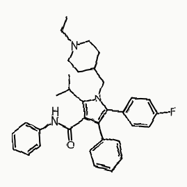 CCN1CCC(Cn2c(-c3ccc(F)cc3)c(-c3ccccc3)c(C(=O)Nc3ccccc3)c2C(C)C)CC1